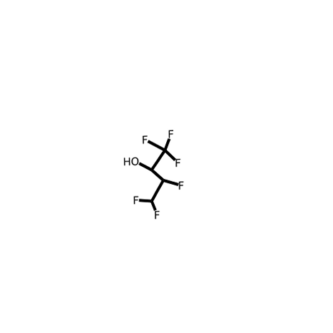 OC(C(F)C(F)F)C(F)(F)F